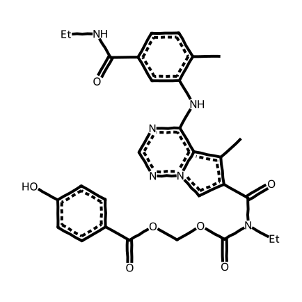 CCNC(=O)c1ccc(C)c(Nc2ncnn3cc(C(=O)N(CC)C(=O)OCOC(=O)c4ccc(O)cc4)c(C)c23)c1